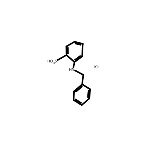 O=S(=O)(O)c1ccccc1NCc1ccccc1.[KH]